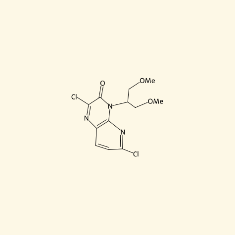 COCC(COC)n1c(=O)c(Cl)nc2ccc(Cl)nc21